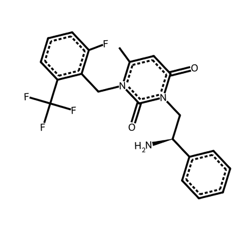 Cc1cc(=O)n(C[C@H](N)c2ccccc2)c(=O)n1Cc1c(F)cccc1C(F)(F)F